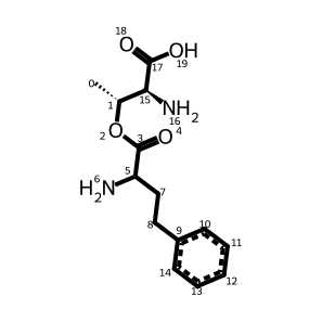 C[C@@H](OC(=O)C(N)CCc1ccccc1)[C@H](N)C(=O)O